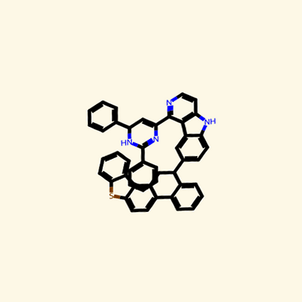 C1=C(c2nccc3[nH]c4ccc(C5Cc6c(ccc7sc8ccccc8c67)-c6ccccc65)cc4c23)N=C(c2ccccc2)NC1c1ccccc1